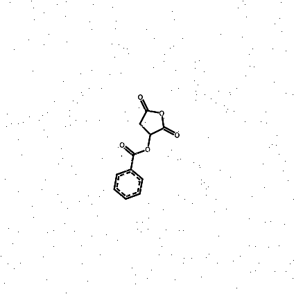 O=C1CC(OC(=O)c2ccccc2)C(=O)O1